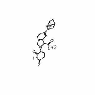 O=CC(=O)C1c2cc(N3CC4CC(C3)N4)ccc2CN1C1CCC(=O)NC1=O